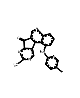 Cc1ccc(Nc2cccc3ncc4c(c23)-c2cnc(C(F)(F)F)nc2C4=O)nc1